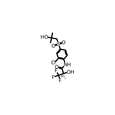 CC(C)(O)CS(=O)(=O)c1ccc(NC(=O)[C@@](C)(O)C(F)(F)F)c(Cl)c1